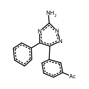 CC(=O)c1cccc(-c2nnc(N)nc2-c2ccccc2)c1